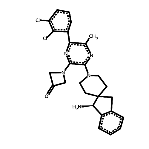 Cc1nc(N2CCC3(CC2)Cc2ccccc2[C@H]3N)c(N2CC(=O)C2)nc1-c1cccc(Cl)c1Cl